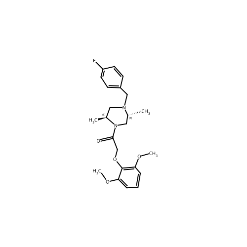 COc1cccc(OC)c1OCC(=O)N1C[C@@H](C)N(Cc2ccc(F)cc2)C[C@@H]1C